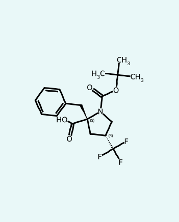 CC(C)(C)OC(=O)N1C[C@H](C(F)(F)F)C[C@]1(Cc1ccccc1)C(=O)O